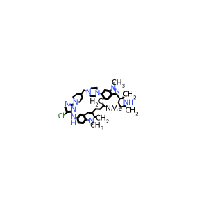 C=C(CCC1=Cc2cc(Nc3nc(N4CCC(CN5CCN(c6ccc7c(C8CCC(=C)NC8=C)nn(C)c7c6)CC5)CC4)ncc3Cl)ccc2N(C)C1=C)NC